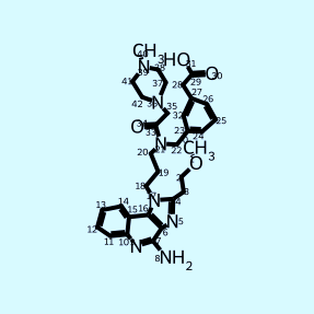 COCCc1nc2c(N)nc3ccccc3c2n1CCCN(Cc1cccc(CC(=O)O)c1)C(=O)CN1CCN(C)CC1